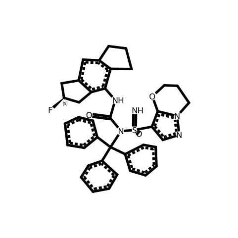 N=S(=O)(c1cnn2c1OCCC2)N(C(=O)Nc1c2c(cc3c1C[C@@H](F)C3)CCC2)C(c1ccccc1)(c1ccccc1)c1ccccc1